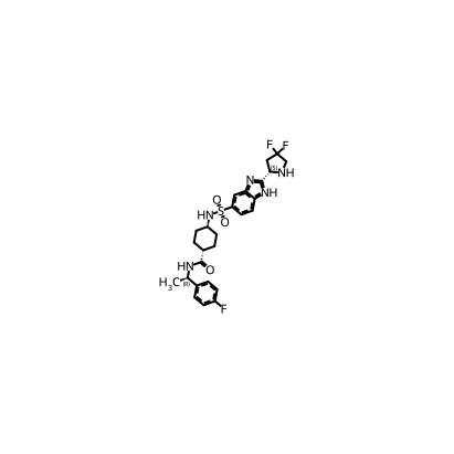 C[C@@H](NC(=O)[C@H]1CC[C@H](NS(=O)(=O)c2ccc3[nH]c([C@@H]4CC(F)(F)CN4)nc3c2)CC1)c1ccc(F)cc1